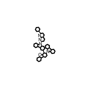 c1ccc(-c2ccc3ccc(-n4c5ccccc5c5cc(-c6c(-n7c8ccccc8c8ccccc87)ccc7c6oc6ccccc67)ccc54)nc3n2)cc1